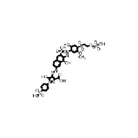 COc1cc(/N=N/c2c(S(=O)(=O)O)cc3ccc(/N=N/c4c(C(=O)O)nn(-c5ccc(S(=O)(=O)O)cc5)c4O)cc3c2O)c(O)cc1S(=O)(=O)CCOOS(=O)(=O)O